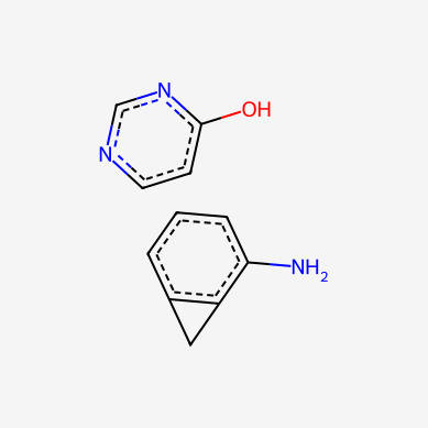 Nc1cccc2c1C2.Oc1ccncn1